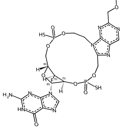 COCc1ncc2nc3n(c2n1)CCOP(=O)(S)OC[C@H]1O[C@@H](n2cnc4c(=O)[nH]c(N)nc42)[C@H](OP(=O)(S)OC3)[C@H]1F